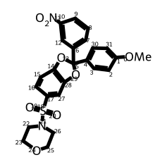 COc1ccc(C2(c3cccc([N+](=O)[O-])c3)Oc3ccc(S(=O)(=O)N4CCOCC4)cc3O2)cc1